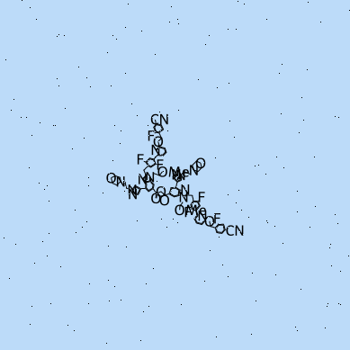 COCCn1c(Cc2cc(F)c(-c3cccc(OCc4ccc(C#N)cc4F)n3)cc2F)nc2c(-c3cnn(CCN4CCOCC4)c3)cc(C(=O)OC(=O)c3cc(-c4cnn(CCN5CCOCC5)c4)c4nc(Cc5cc(F)c(-c6cccc(OCc7ccc(C#N)cc7F)n6)cc5F)n(CCOC)c4c3)cc21